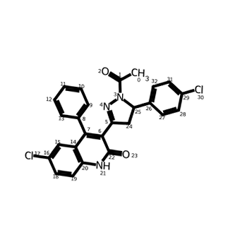 CC(=O)N1N=C(c2c(-c3ccccc3)c3cc(Cl)ccc3[nH]c2=O)CC1c1ccc(Cl)cc1